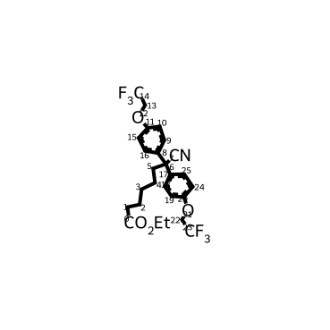 CCOC(=O)CCCCCC(C#N)(c1ccc(OCC(F)(F)F)cc1)c1ccc(OCC(F)(F)F)cc1